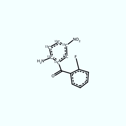 N[13c]1[13cH][13cH][13c]([N+](=O)[O-])[13cH][13c]1C(=O)c1ccccc1F